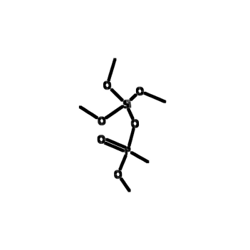 CO[Si](OC)(OC)OP(C)(=O)OC